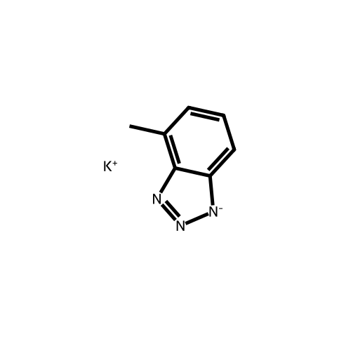 Cc1cccc2[n-]nnc12.[K+]